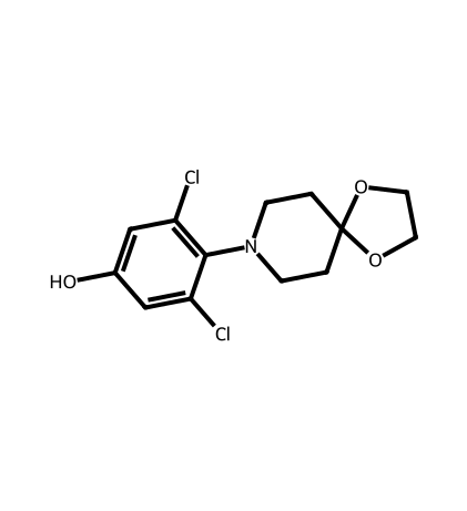 Oc1cc(Cl)c(N2CCC3(CC2)OCCO3)c(Cl)c1